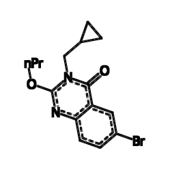 CCCOc1nc2ccc(Br)cc2c(=O)n1CC1CC1